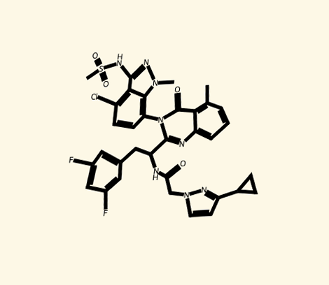 Cc1cccc2nc(C(Cc3cc(F)cc(F)c3)NC(=O)Cn3ccc(C4CC4)n3)n(-c3ccc(Cl)c4c(NS(C)(=O)=O)nn(C)c34)c(=O)c12